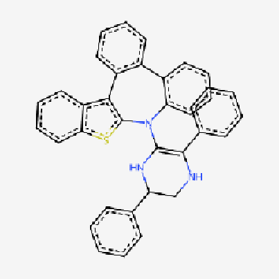 c1ccc(C2=C(N3c4ccccc4-c4ccccc4-c4c3sc3ccccc43)NC(c3ccccc3)CN2)cc1